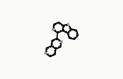 c1ccc2c(c1)sc1ccnc(-c3cc4cnccc4cn3)c12